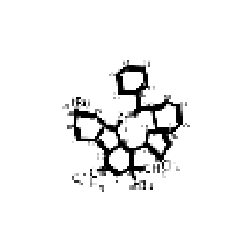 CC1=CC(C)(C(C)(C)C)C(C2=CC=CC2)=C2[C]([Zr+2]=[C](c3ccccc3)c3ccccc3)=c3cc(C(C)(C)C)ccc3=C12.[Cl-].[Cl-]